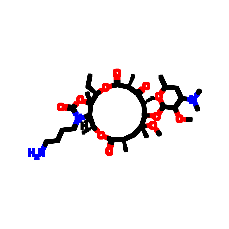 CC[C@H]1OC(=O)[C@H](C)C(=O)[C@H](C)[C@@H](OC2OC(C)CC(N(C)C)C2OC)[C@](C)(OC)C[C@@H](C)C(=O)O[C@H](C)[C@H]2N(CCCCN)C(=O)O[C@]12C